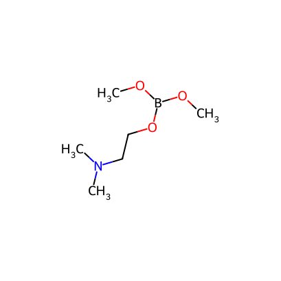 COB(OC)OCCN(C)C